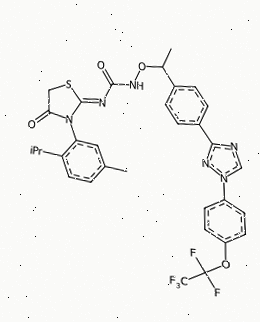 Cc1ccc(C(C)C)c(N2C(=O)CS/C2=N\C(=O)NOC(C)c2ccc(-c3ncn(-c4ccc(OC(F)(F)C(F)(F)F)cc4)n3)cc2)c1